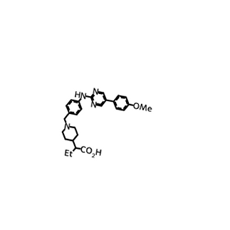 CCC(C(=O)O)C1CCN(Cc2ccc(Nc3ncc(-c4ccc(OC)cc4)cn3)cc2)CC1